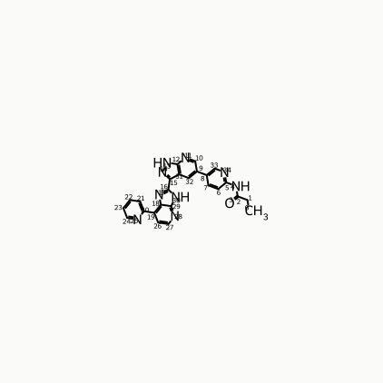 CCC(=O)Nc1ccc(-c2cnc3[nH]nc(-c4nc5c(-c6ccccn6)ccnc5[nH]4)c3c2)cn1